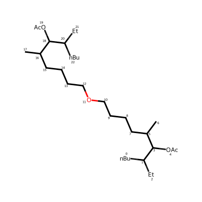 CCCCC(CC)C(OC(C)=O)C(C)CCCCOCCCCC(C)C(OC(C)=O)C(CC)CCCC